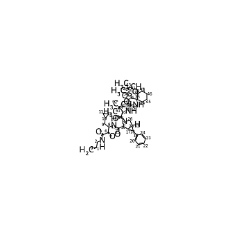 C=CCNC(=O)C(=O)C(CC1CC1)NC(=O)[C@@H]1C2C(c3ccccc3)[C@H]2CN1C(=O)[C@@H](NC(=O)NC1(CS(=O)(=O)C(C)(C)C)CCCCC1)C(C)(C)C